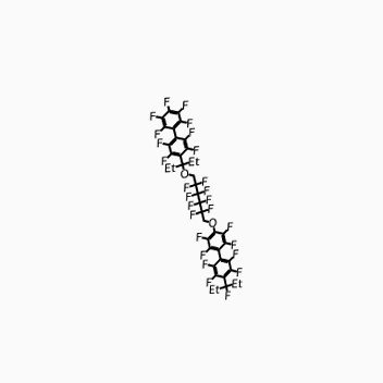 CCC(F)(CC)c1c(F)c(F)c(-c2c(F)c(F)c(OCC(F)(F)C(F)(F)C(F)(F)C(F)(F)COC(CC)(CC)c3c(F)c(F)c(-c4c(F)c(F)c(F)c(F)c4F)c(F)c3F)c(F)c2F)c(F)c1F